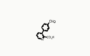 O=Cc1ccc(-c2cccnc2C(=O)O)cc1